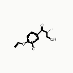 C=COc1ccc(C(=O)[C@H](C)CO)cc1Cl